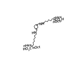 CCCCCCCCC(CCCCCC)(CCCCCCCNC[C@H]1CCC[C@@H](CNCCCCCCCC(CCCCCC)(CCCCCCCC)C(=O)O)C1)C(=O)O